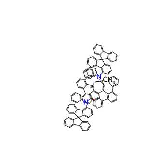 CC1(N(c2ccccc2)c2cccc3c2-c2ccccc2C32c3ccccc3-c3ccccc32)C2=C(c3c(-c4ccccc4)cccc3-c3ccccc3)c3ccc(N(c4ccccc4)c4cccc5c4-c4ccccc4C54c5ccccc5-c5ccccc54)cc3[C@@H](c3c(-c4ccccc4)cccc3-c3ccccc3)C1C2